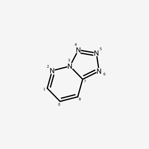 [c]1cnn2nnnc2c1